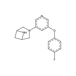 Fc1ccc(Oc2cncc(N3CC4CC(C3)N4)c2)cc1